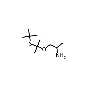 CC(N)COC(C)(C)SC(C)(C)C